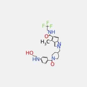 Cc1c(C(=O)NCC(F)(F)F)ccc2nn(CC3CCN(C(=O)c4ccc(NCCO)cc4)CC3)cc12